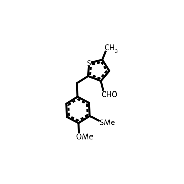 COc1ccc(Cc2sc(C)cc2C=O)cc1SC